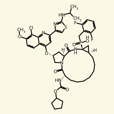 COc1ccc2c(O[C@@H]3C[C@H]4C(=O)N[C@]5(P(=O)(O)Cc6c(F)cccc6F)C[C@H]5CCCCCCC[C@H](NC(=O)OC5CCCC5)C(=O)N4C3)cc(-c3csc(NC(C)C)n3)nc2c1Cl